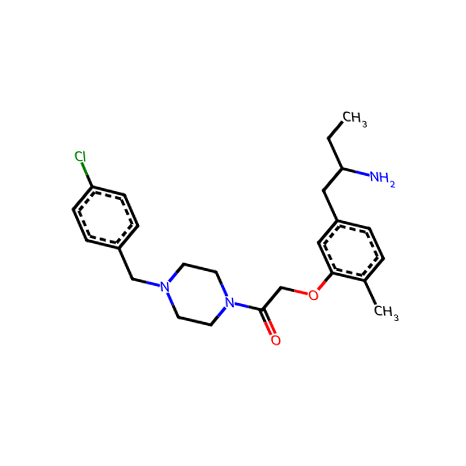 CCC(N)Cc1ccc(C)c(OCC(=O)N2CCN(Cc3ccc(Cl)cc3)CC2)c1